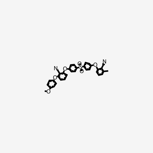 COc1ccc(Oc2cccc(Oc3ccc(S(=O)(=O)c4ccc(Oc5cccc(C)c5C#N)cc4)cc3)c2C#N)cc1